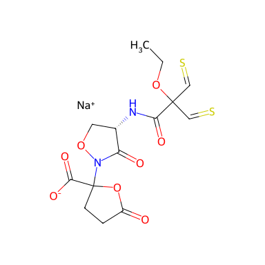 CCOC(C=S)(C=S)C(=O)N[C@H]1CON(C2(C(=O)[O-])CCC(=O)O2)C1=O.[Na+]